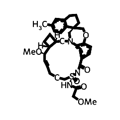 COCC(=O)N[S@]1(=O)=NC(=O)c2ccc3c(c2)N(C[C@@H]2CC[C@H]2[C@@H](OC)/C=C/CCC1)C[C@@]1(CCCc2cc(C)ccc21)CO3